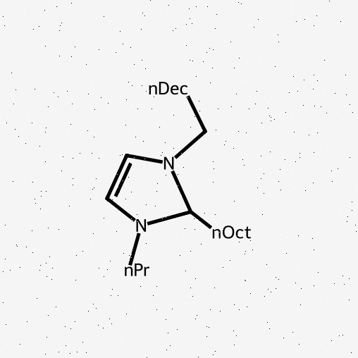 CCCCCCCCCCCN1C=CN(CCC)C1CCCCCCCC